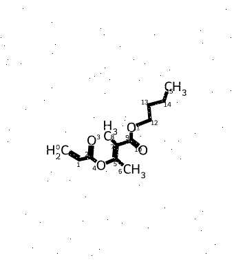 C=CC(=O)OC(C)=C(C)C(=O)OCCCC